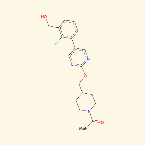 CNC(=O)N1CCC(COc2ncc(-c3cccc(CO)c3F)cn2)CC1